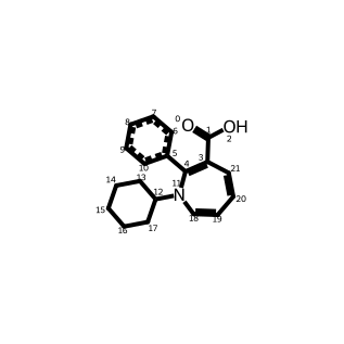 O=C(O)C1=C(c2ccccc2)N(C2CCCCC2)C=CC=C1